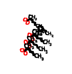 C=Cc1ccccc1.CCCCC=C(C)C(=O)[O-].CCCCC=C(C)C(=O)[O-].CCCCC=C(C)C(=O)[O-].CCCCC=C(C)C(=O)[O-].[C+4]